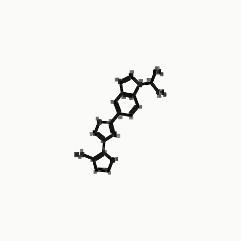 Cc1ccoc1-c1noc(-c2ccc3c(c2)nnn3C(C)C)n1